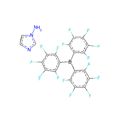 Fc1c(F)c(F)c(B(c2c(F)c(F)c(F)c(F)c2F)c2c(F)c(F)c(F)c(F)c2F)c(F)c1F.Nn1ccnc1